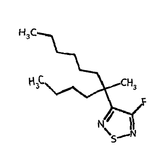 CCCCCCC(C)(CCCC)c1nsnc1F